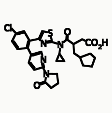 O=C(O)CC(CC1CCCC1)C(=O)N(c1nc(-c2cc(Cl)ccc2-c2ccc(N3CCCC3=O)nc2)cs1)C1CC1